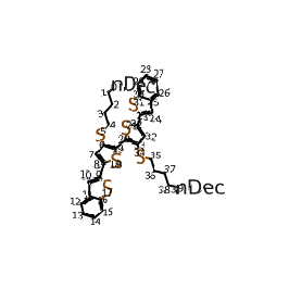 CCCCCCCCCCCCCCSc1cc(-c2cc3ccccc3s2)sc1-c1sc(-c2cc3ccccc3s2)cc1SCCCCCCCCCCCCCC